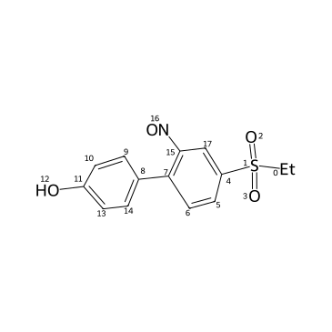 CCS(=O)(=O)c1ccc(-c2ccc(O)cc2)c(N=O)c1